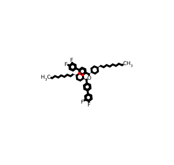 CCCCCCCCC[C@H]1CC[C@H](C(OC(c2ccc(-c3ccc(F)c(F)c3)cc2)[C@H]2CC[C@H](CCCCCCCCC)CC2)c2ccc(-c3ccc(F)c(F)c3)cc2)CC1